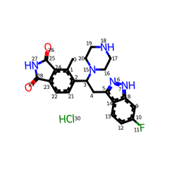 Cc1c(C(Cc2n[nH]c3cc(F)ccc23)N2CCNCC2)ccc2c1C(=O)NC2=O.Cl